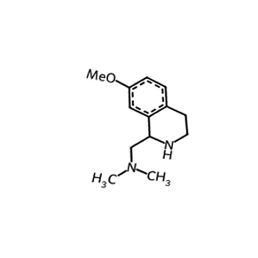 COc1ccc2c(c1)C(CN(C)C)NCC2